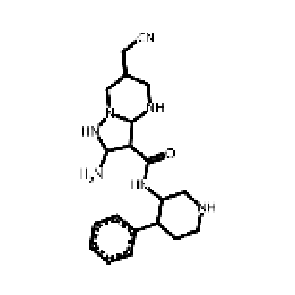 N#CCC1CNC2C(C(=O)NC3CNCCC3c3ccccc3)C(N)NN2C1